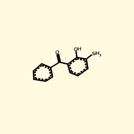 O=C(c1ccccc1)c1cccc([SiH3])c1O